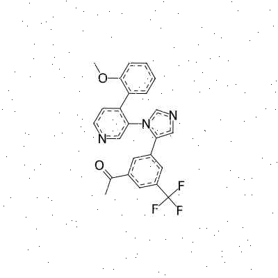 COc1ccccc1-c1ccncc1-n1cncc1-c1cc(C(C)=O)cc(C(F)(F)F)c1